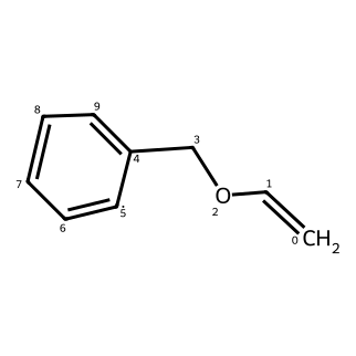 C=COCc1[c]cccc1